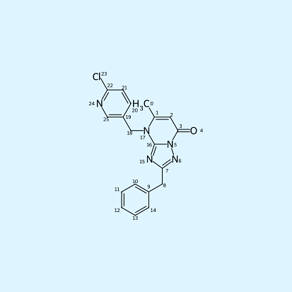 Cc1cc(=O)n2nc(Cc3ccccc3)nc2n1Cc1ccc(Cl)nc1